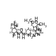 COCc1c(-c2ccc(NC(=O)Nc3cc(C(F)(F)F)ccc3F)cc2)c2c(N)ncnn2c1C(C)O